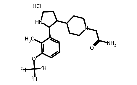 Cl.[2H]C([2H])([2H])Oc1cccc([C@H]2NCCC2C2CCN(CC(N)=O)CC2)c1C